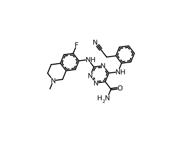 CN1CCc2cc(F)c(Nc3nnc(C(N)=O)c(Nc4ccccc4CC#N)n3)cc2C1